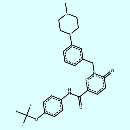 CN1CCN(c2cccc(Cn3nc(C(=O)Nc4ccc(OC(F)(F)F)cc4)ccc3=O)c2)CC1